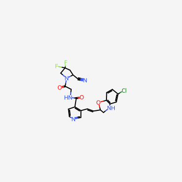 N#CC1CC(F)(F)CN1C(=O)CNC(=O)c1ccncc1C=CC1CNc2cc(Cl)ccc2O1